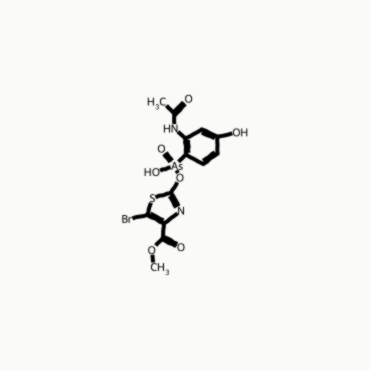 COC(=O)c1nc(O[As](=O)(O)c2ccc(O)cc2NC(C)=O)sc1Br